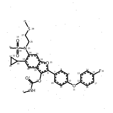 CNC(=O)Oc1c(-c2ccc(Oc3ccc(F)cc3)cc2)oc2cc(N(CCSC)S(C)(=O)=O)c(C3CC3)cc12